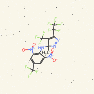 CC1(Nc2c([N+](=O)[O-])cc(C(F)(F)F)cc2[N+](=O)[O-])N=NC(C(F)(F)C(F)(F)F)=C1C(F)(F)F